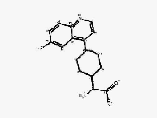 CCC(=O)C(C)C1CCC(c2ccnc3ccc(F)cc23)CC1